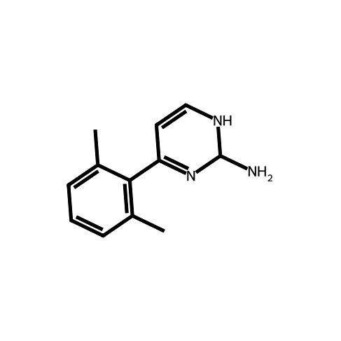 Cc1cccc(C)c1C1=NC(N)NC=C1